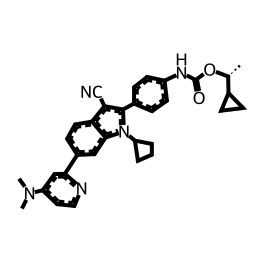 C[C@@H](OC(=O)Nc1ccc(-c2c(C#N)c3ccc(-c4cc(N(C)C)ccn4)cc3n2C2CCC2)cc1)C1CC1